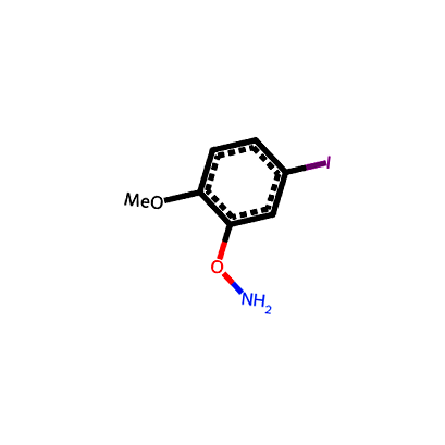 COc1ccc(I)cc1ON